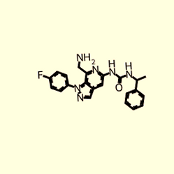 CC(NC(=O)Nc1cc2cnn(-c3ccc(F)cc3)c2c(CN)n1)c1ccccc1